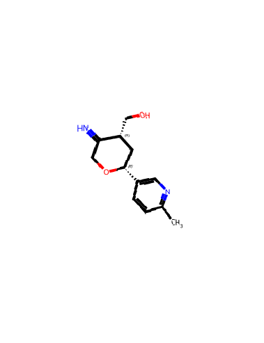 Cc1ccc([C@H]2C[C@@H](CO)C(=N)CO2)cn1